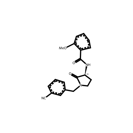 COc1ccccc1C(=O)N[C@H]1CCN(Cc2cccc(C#N)c2)C1=O